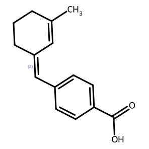 CC1=C/C(=C\c2ccc(C(=O)O)cc2)CCC1